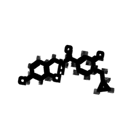 O=C(NCc1ccc(Cl)cc1Cl)c1ccn(CC2CC2)c(=O)c1